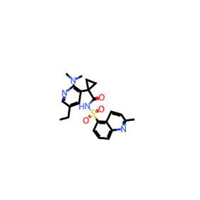 CCc1cnc(N(C)C)c(C2(C(=O)NS(=O)(=O)c3cccc4nc(C)ccc34)CC2)c1